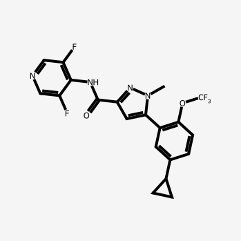 Cn1nc(C(=O)Nc2c(F)cncc2F)cc1-c1cc(C2CC2)ccc1OC(F)(F)F